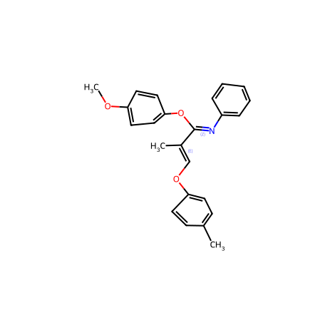 COc1ccc(OC(=N\c2ccccc2)/C(C)=C/Oc2ccc(C)cc2)cc1